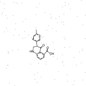 Cc1ccc(C2CNc3cccc(C(=O)O)c3C2=O)cc1